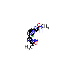 CCc1cc2ncc(CN3CCN(c4ccc(C(=O)NC)nc4)[C@H]4CC[C@@H]43)c(F)c2[nH]c1=O